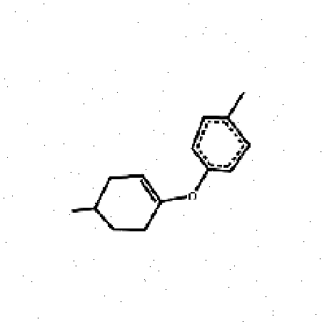 Cc1ccc(OC2=CCC(C)CC2)cc1